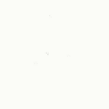 CC(=O)c1ccc(OCc2ccccc2)c(NS(C)(=O)=O)c1